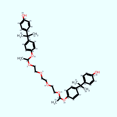 CC(OCCOCCOCCOC(C)Oc1ccc(C(C)(C)c2ccc(O)cc2)cc1)Oc1ccc(C(C)(C)c2ccc(O)cc2)cc1